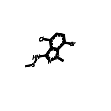 CSNc1nn(C)c2c(Br)ccc(Cl)c12